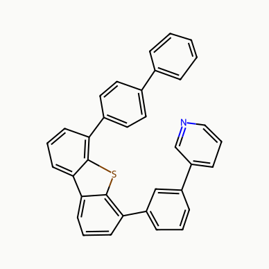 c1ccc(-c2ccc(-c3cccc4c3sc3c(-c5cccc(-c6cccnc6)c5)cccc34)cc2)cc1